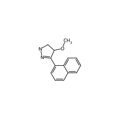 COC1C[N]N=C1c1cccc2ccccc12